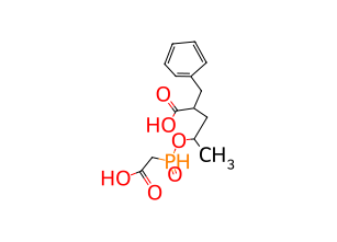 CC(CC(Cc1ccccc1)C(=O)O)O[PH](=O)CC(=O)O